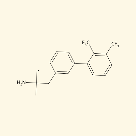 [CH2]C(C)(N)Cc1cccc(-c2cccc(C(F)(F)F)c2C(F)(F)F)c1